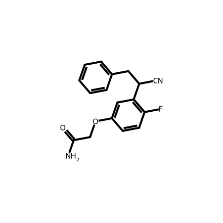 N#CC(Cc1ccccc1)c1cc(OCC(N)=O)ccc1F